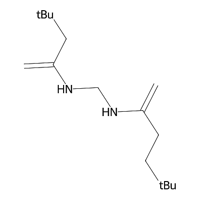 C=C(CCC(C)(C)C)NCNC(=C)CC(C)(C)C